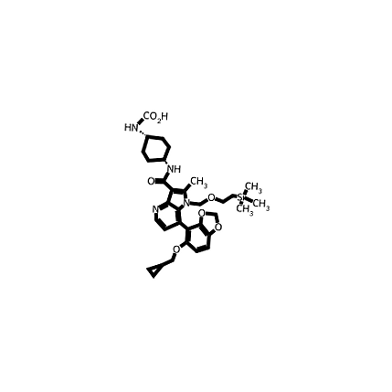 Cc1c(C(=O)N[C@H]2CC[C@@H](NC(=O)O)CC2)c2nccc(-c3c(OCC4CC4)ccc4c3OCO4)c2n1COCC[Si](C)(C)C